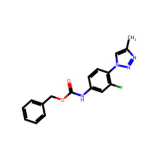 Cc1cn(-c2ccc(NC(=O)OCc3ccccc3)cc2F)nn1